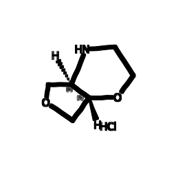 C1CO[C@@H]2COC[C@H]2N1.Cl